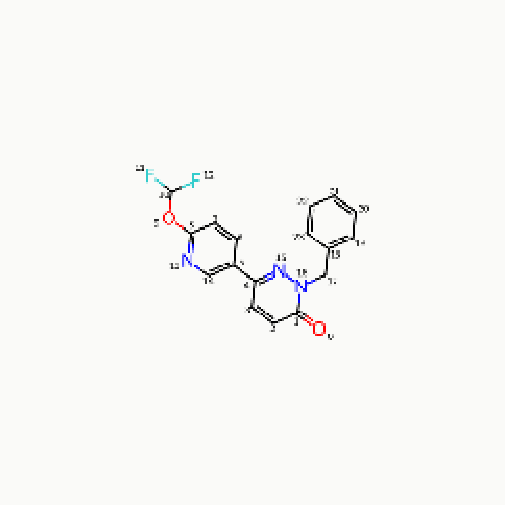 O=c1ccc(-c2ccc(OC(F)F)nc2)nn1Cc1ccccc1